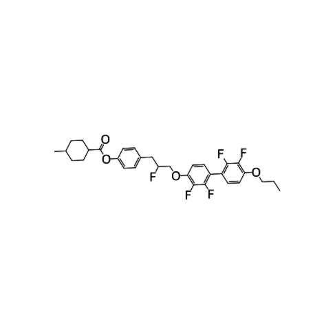 CCCOc1ccc(-c2ccc(OCC(F)Cc3ccc(OC(=O)C4CCC(C)CC4)cc3)c(F)c2F)c(F)c1F